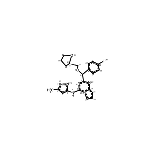 Cc1cc(Nc2nc(C(OC[C@H]3CCCO3)c3ccc(F)cc3)nc3cccn23)n[nH]1